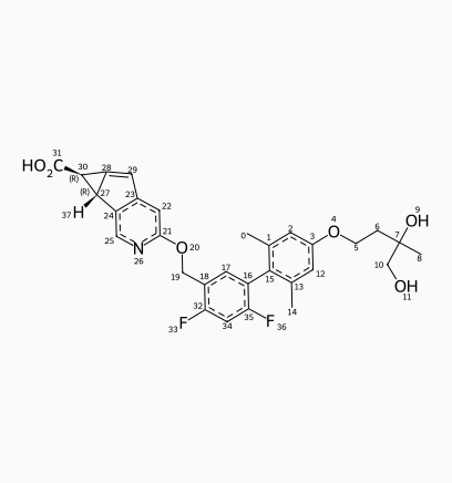 Cc1cc(OCCC(C)(O)CO)cc(C)c1-c1cc(COc2cc3c(cn2)[C@H]2C(=C3)[C@@H]2C(=O)O)c(F)cc1F